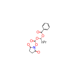 CCCC(OC(=O)ON1C(=O)CCC1=O)OC(=O)c1ccccc1